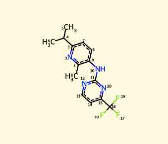 Cc1nc(C(C)C)ccc1Nc1nccc(C(F)(F)F)n1